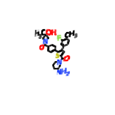 Cc1ccc(-c2cc(C(=O)N3CCC[C@@H](N)C3)sc2-c2ccc(C(=O)N3CC(C)(O)C3)cc2)cc1F